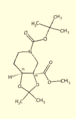 COC(=O)[C@@]12CN(C(=O)OC(C)(C)C)CC[C@@H]1OC(C)(C)O2